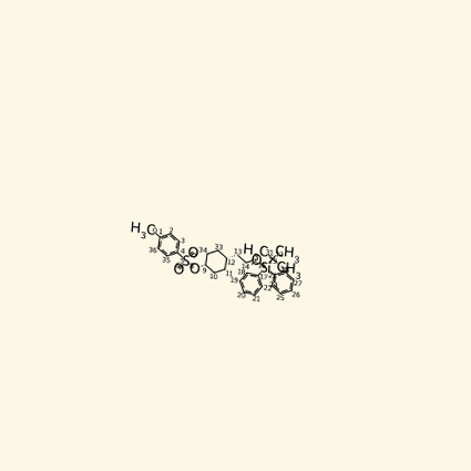 Cc1ccc(S(=O)(=O)O[C@H]2CC[C@@H](CCO[Si](c3ccccc3)(c3ccccc3)C(C)(C)C)CC2)cc1